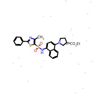 CCOC(=O)[C@@H]1CCN(c2ccc(NS(=O)(=O)c3sc(-c4ccccc4)nc3C)c3ccccc23)C1